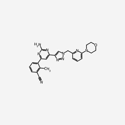 Cc1c(C#N)cccc1-c1cc(-c2cn(Cc3cccc(N4CCOCC4)n3)nn2)nc(N)n1